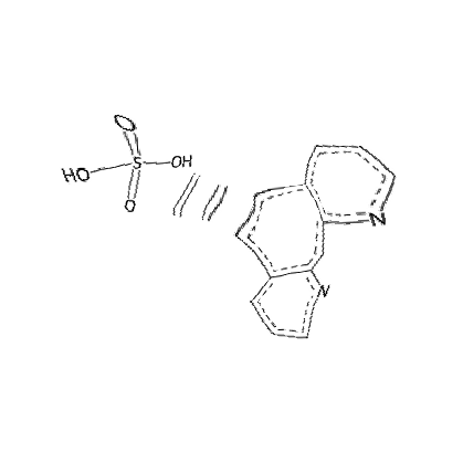 C=C.C=C.O=S(=O)(O)O.c1cnc2c(c1)ccc1cccnc12